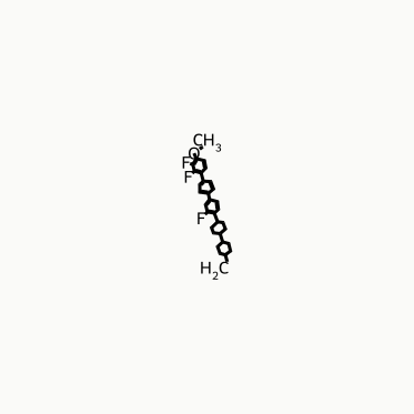 C=CC1CCC(C2CCC(c3ccc(-c4ccc(-c5ccc(OCC)c(F)c5F)cc4)cc3F)CC2)CC1